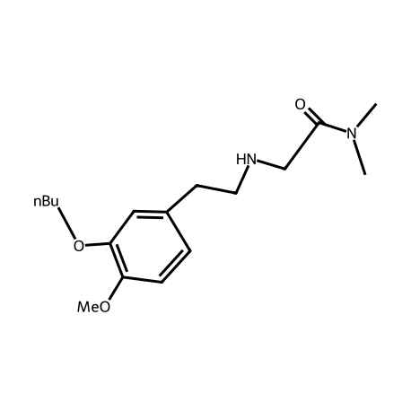 CCCCOc1cc(CCNCC(=O)N(C)C)ccc1OC